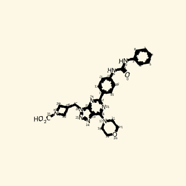 O=C(Nc1ccccc1)Nc1ccc(-c2nc(N3CCOCC3)c3nnn(CC4CN(C(=O)O)C4)c3n2)cc1